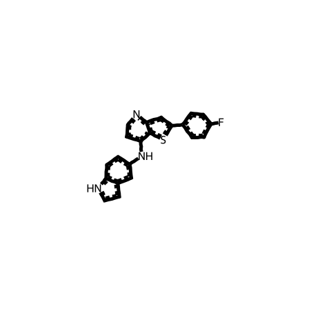 Fc1ccc(-c2cc3nccc(Nc4ccc5[nH]ccc5c4)c3s2)cc1